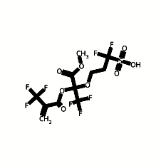 C=C(C(=O)OC(OCCC(F)(F)S(=O)(=O)O)(C(=O)OC)C(F)(F)F)C(F)(F)F